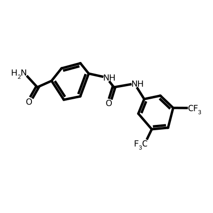 NC(=O)c1ccc(NC(=O)Nc2cc(C(F)(F)F)cc(C(F)(F)F)c2)cc1